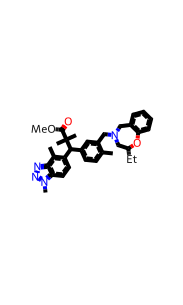 CCC1CN(Cc2cc(C(c3ccc4c(nnn4C)c3C)C(C)(C)C(=O)OC)ccc2C)Cc2ccccc2O1